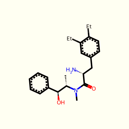 CCc1ccc(C[C@@H](N)C(=O)N(C)[C@@H](C)[C@@H](O)c2ccccc2)cc1CC